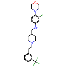 Fc1cc(NCC2CCN(CCc3cccc(C(F)(F)F)c3)CC2)ccc1N1CCOCC1